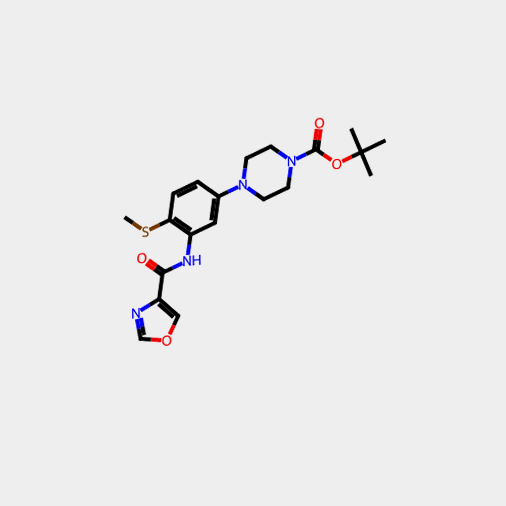 CSc1ccc(N2CCN(C(=O)OC(C)(C)C)CC2)cc1NC(=O)c1cocn1